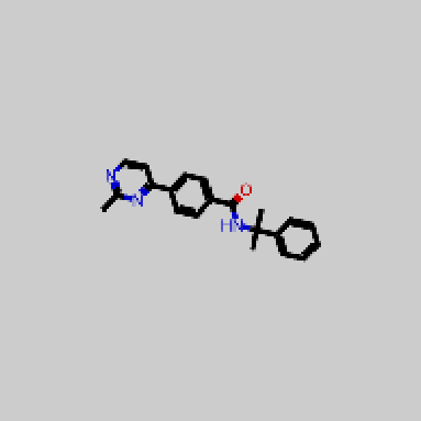 Cc1nccc(-c2ccc(C(=O)NC(C)(C)c3ccccc3)cc2)n1